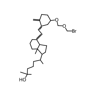 C=C1CCC(OCOCBr)CC1=CC=C1CCCC2(C)C1CCC2C(C)CCCC(C)(C)O